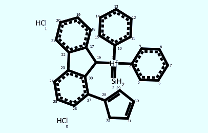 Cl.Cl.[SiH2]=[Hf]([c]1ccccc1)([c]1ccccc1)[CH]1c2ccccc2-c2cccc(C3=CC=CC3)c21